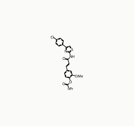 CCCC(=O)Oc1ccc(C=CC(=O)Nc2nc(-c3ccc(Cl)cc3)cs2)cc1OC